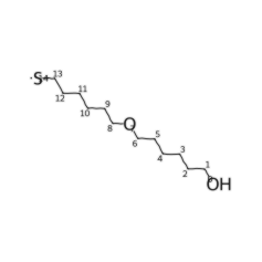 OCCCCCCOCCCCCC[S]